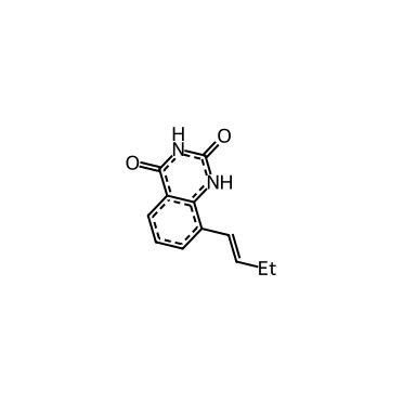 CCC=Cc1cccc2c(=O)[nH]c(=O)[nH]c12